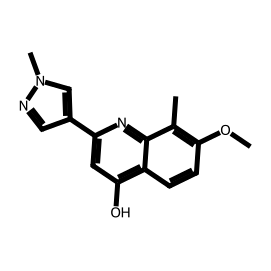 COc1ccc2c(O)cc(-c3cnn(C)c3)nc2c1C